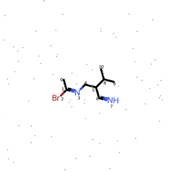 C/C(Br)=N\CC(C=N)C(C)C